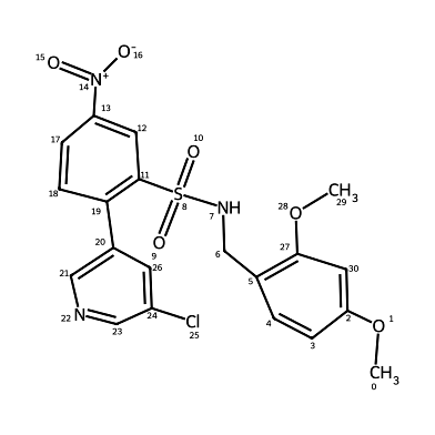 COc1ccc(CNS(=O)(=O)c2cc([N+](=O)[O-])ccc2-c2cncc(Cl)c2)c(OC)c1